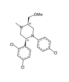 COC[C@H]1CN(c2ccc(Cl)cc2)[C@@H](c2ccc(Cl)cc2Cl)CN1C